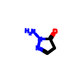 NN1N=CCC1=O